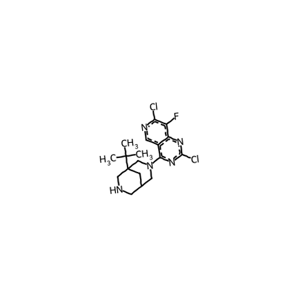 CC(C)(C)C12CNCC(CN(c3nc(Cl)nc4c(F)c(Cl)ncc34)C1)C2